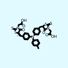 Cc1ccc(N(c2ccc(/C=C3/SC(=S)N(CC(=O)O)C3=O)cc2)c2ccc(CC3SC(=S)N(CC(=O)O)C3=O)cc2)cc1